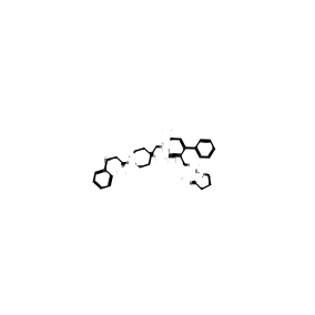 C[C@H](CC(=O)N1CCC(O)(Cn2cc(C(=O)ON3C(=O)CCC3=O)c(-c3ccccc3)cc2=O)CC1)c1ccccc1